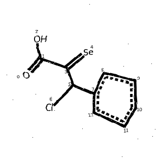 O=C(O)C(=[Se])C(Cl)c1ccccc1